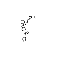 COCCCCCC1(c2ccccc2)C2CC3CC1CC(C(=O)OCc1ccccc1)(C3)C2